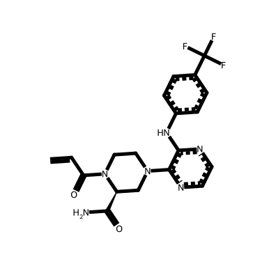 C=CC(=O)N1CCN(c2nccnc2Nc2ccc(C(F)(F)F)cc2)C[C@H]1C(N)=O